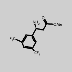 COC(=O)C[C@H](N)c1cc(C(F)(F)F)cc(C(F)(F)F)c1